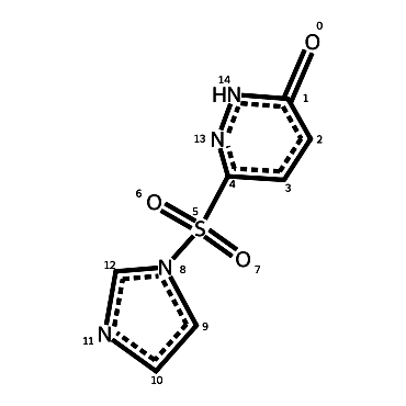 O=c1ccc(S(=O)(=O)n2ccnc2)n[nH]1